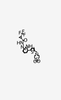 Nn1c(-c2ccc(CN3CCS(=O)(=O)CC3)s2)ccc/c1=N/CNC(=O)[C@H]1C[C@H]1C(F)(F)F